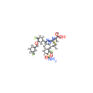 NS(=O)(=O)c1ccc(Cc2c(-c3ccc(F)c(OCc4cccc(F)c4)c3)nn(-c3nc(C(=O)O)cs3)c2CC2CC2)cc1F